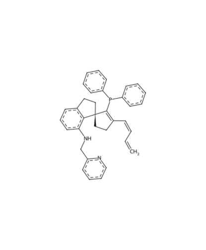 C=C/C=C\C1=C(P(c2ccccc2)c2ccccc2)[C@@]2(CC1)CCc1cccc(NCc3ccccn3)c12